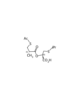 CC(=O)SC[C@@H](C)C(=O)O[C@@H](CSC(C)C)C(=O)O